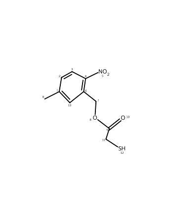 Cc1ccc([N+](=O)[O-])c(COC(=O)CS)c1